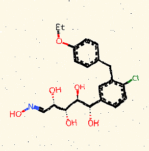 CCOc1ccc(Cc2cc([C@H](O)[C@H](O)[C@H](O)[C@@H](O)C=NO)ccc2Cl)cc1